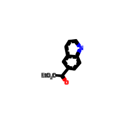 CCOC(=O)C(=O)c1ccc2ncccc2c1